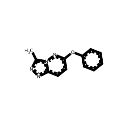 Cc1nnc2ccc(Oc3ccccc3)nn12